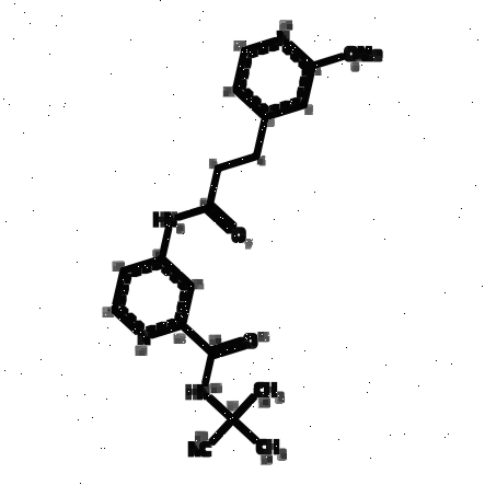 COc1cc(CCC(=O)Nc2ccnc(C(=O)NC(C)(C)C#N)c2)ccn1